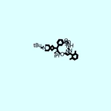 Cc1cccc(C)c1-c1cc2nc(n1)NS(=O)(=O)c1cccc(c1)C(C1CC3(CCN(CC(C)(C)C)CC3)C1)[C@H](CC(C)C)CO2